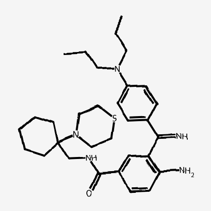 CCCN(CCC)c1ccc(C(=N)c2cc(C(=O)NCC3(N4CCSCC4)CCCCC3)ccc2N)cc1